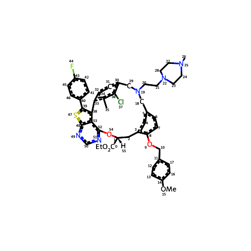 CCOC(=O)[C@H]1Cc2cc(ccc2OCc2ccc(OC)cc2)CN(CCN2CCN(C)CC2)Cc2ccc(c(C)c2Cl)-c2c(-c3ccc(F)cc3)sc3ncnc(c23)O1